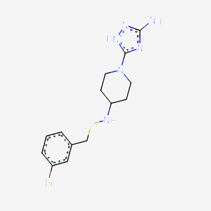 Nc1n[nH]c(N2CCC(NSCc3cccc(Br)c3)CC2)n1